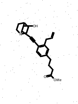 C=CCc1cc(CCCC(=O)OC)ccc1C#CC1C(O)C2CCN1CC2